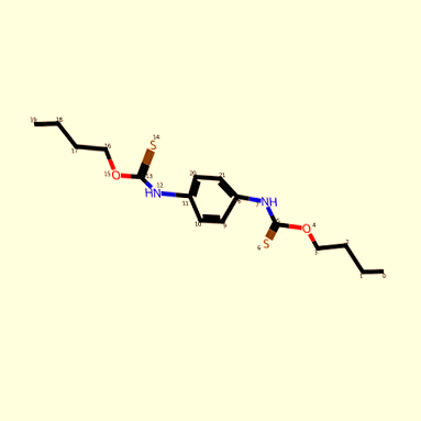 CCCCOC(=S)Nc1ccc(NC(=S)OCCCC)cc1